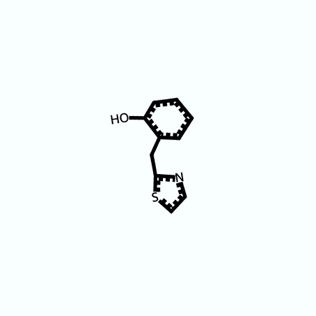 Oc1ccccc1Cc1nccs1